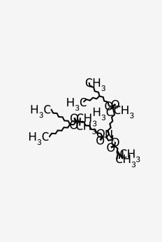 CCCCCCCCC(CCCCCCCC)OC(=O)C(C)(C)CCCCCCOC(=O)[C@@H]1C[C@@H](OC(=O)CCN(C)C)CN1CCCCCCC(C)(C)C(=O)OCCCC(CCCCC)CCCCC